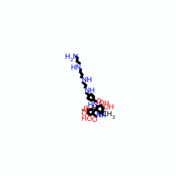 C[C@@H]1[C@H](O)[C@@H](O)[C@H](NC(=O)c2ccc(CNCCCNCCCCNCCCN)cc2)[C@@H]2c3cc4c(c(O)c3C(=O)N[C@@H]12)OCO4